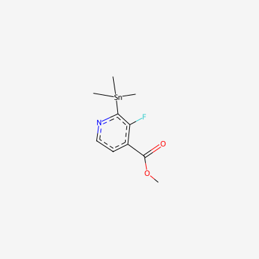 COC(=O)c1ccn[c]([Sn]([CH3])([CH3])[CH3])c1F